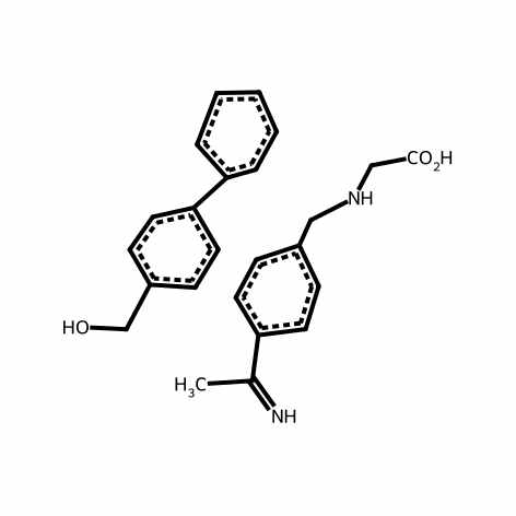 CC(=N)c1ccc(CNCC(=O)O)cc1.OCc1ccc(-c2ccccc2)cc1